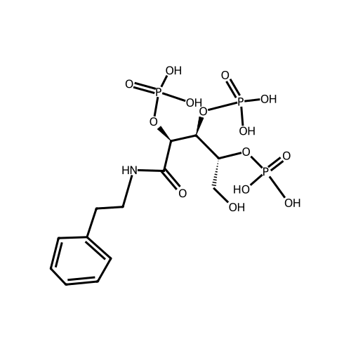 O=C(NCCc1ccccc1)[C@@H](OP(=O)(O)O)[C@@H](OP(=O)(O)O)[C@@H](CO)OP(=O)(O)O